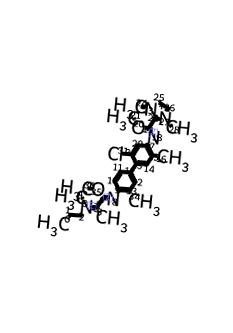 CCC/[N+](C)=C(C)/C(=N/c1ccc(-c2cc(C)c(/N=C(\OC)C3=[N+](C)CCN3C)cc2Cl)cc1C)OC